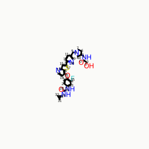 O=C(CO)N[C@H]1CCN(Cc2ccc(-c3cc4nccc(Oc5ccc(NC(=O)NC6CC6)cc5F)c4s3)nc2)C1